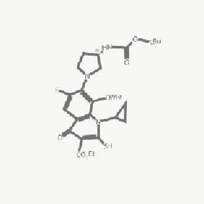 CCOC(=O)c1c(S)n(C2CC2)c2c(OC)c(N3CC[C@H](NC(=O)OC(C)(C)C)C3)c(F)cc2c1=O